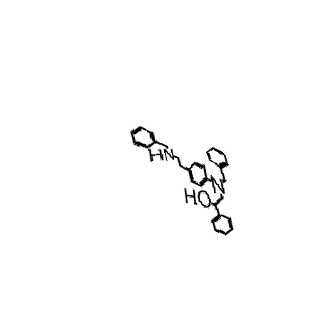 OC(CN(Cc1ccccc1)c1ccc(CCNCc2ccccc2)cc1)c1ccccc1